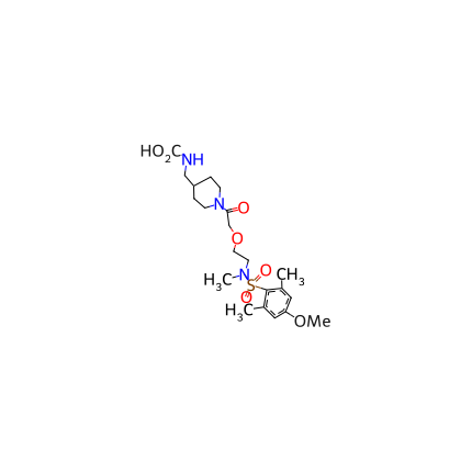 COc1cc(C)c(S(=O)(=O)N(C)CCOCC(=O)N2CCC(CNC(=O)O)CC2)c(C)c1